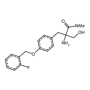 CNC(=O)C(N)(CO)Cc1ccc(OCc2ccccc2F)cc1